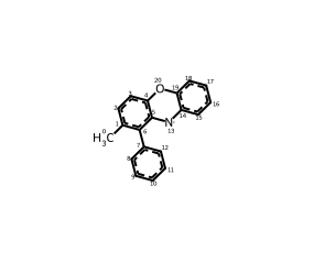 Cc1ccc2c(c1-c1ccccc1)[N]c1ccccc1O2